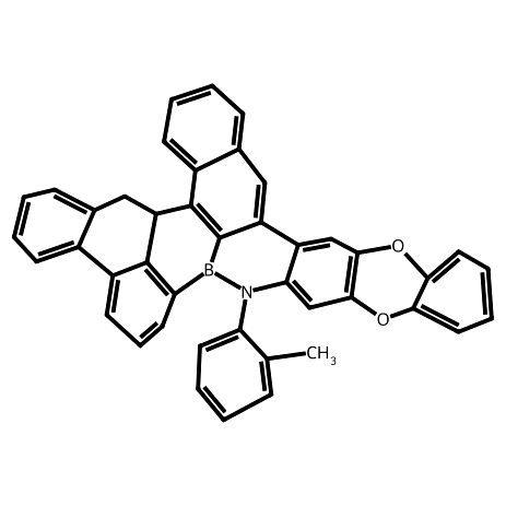 Cc1ccccc1N1B2c3cccc4c3C(Cc3ccccc3-4)c3c2c(cc2ccccc32)-c2cc3c(cc21)Oc1ccccc1O3